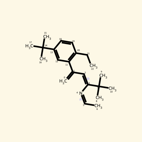 C=C(/C=C(\N=C/C)C(C)(C)C)c1cc(C(C)(C)C)ccc1CC